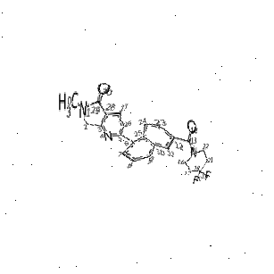 CN1Cc2nc(-c3cccc4cc(C(=O)N5CCC(F)(F)CC5)ccc34)ccc2C1=O